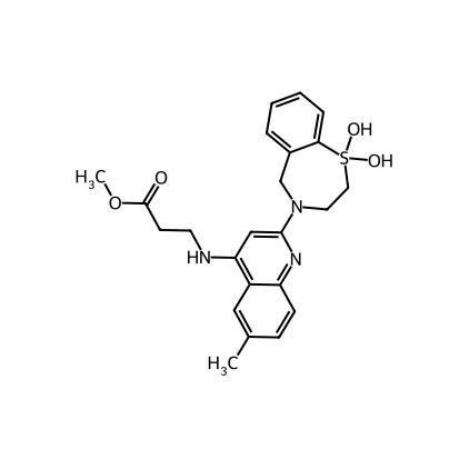 COC(=O)CCNc1cc(N2CCS(O)(O)c3ccccc3C2)nc2ccc(C)cc12